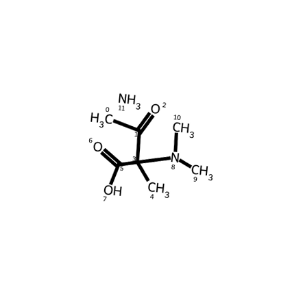 CC(=O)C(C)(C(=O)O)N(C)C.N